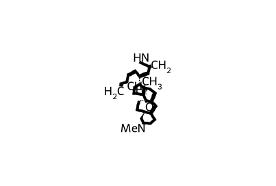 C=CC(=C)/C=C\C(=C/C(=C)C=N)[C@H]1CC[C@@H]2[C@]1(C)CC=C1C=C3CC[C@@H](NC)C[C@]34CC[C@@]12O4